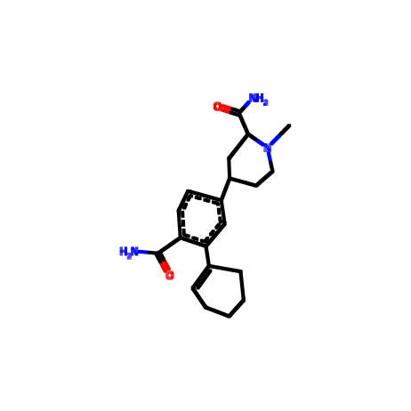 CN1CCC(c2ccc(C(N)=O)c(C3=CCCCC3)c2)CC1C(N)=O